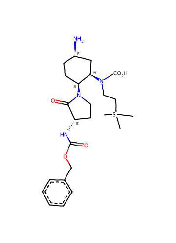 C[Si](C)(C)CCN(C(=O)O)[C@@H]1C[C@H](N)CC[C@@H]1N1CC[C@H](NC(=O)OCc2ccccc2)C1=O